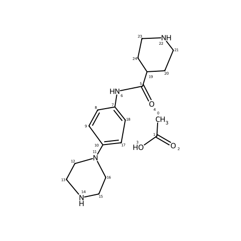 CC(=O)O.O=C(Nc1ccc(N2CCNCC2)cc1)C1CCNCC1